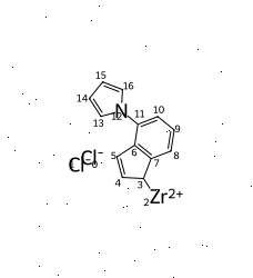 [Cl-].[Cl-].[Zr+2][CH]1C=Cc2c1cccc2-n1cccc1